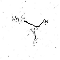 CC[C@@H](C#N)C(=O)O